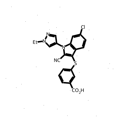 CCn1cc(-n2c(C#N)c(Sc3cccc(C(=O)O)c3)c3ccc(Cl)cc32)cn1